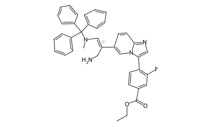 CCOC(=O)c1ccc(-c2cnc3ccc(/C(=C/N(C)C(c4ccccc4)(c4ccccc4)c4ccccc4)CN)cn23)c(F)c1